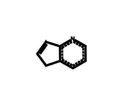 [C]1=CCc2cccnc21